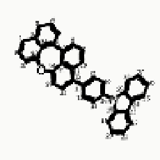 c1cc2cccc3c4cccc5c(-c6ccc(-n7c8ccccc8c8ccccc87)cc6)ccc(oc(c1)c23)c54